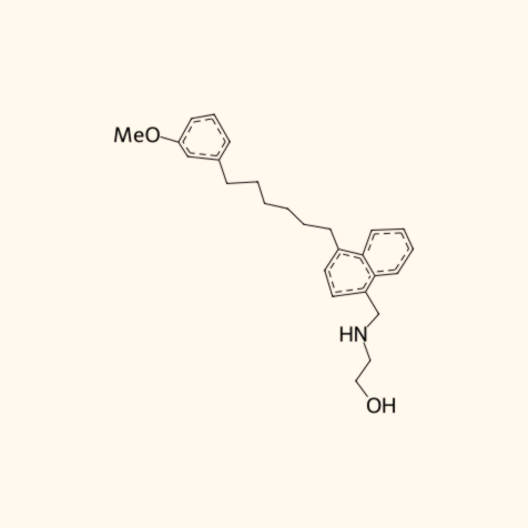 COc1cccc(CCCCCCc2ccc(CNCCO)c3ccccc23)c1